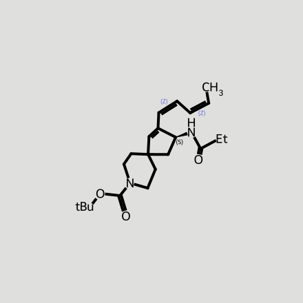 C/C=C\C=C/C1=CC2(CCN(C(=O)OC(C)(C)C)CC2)C[C@@H]1NC(=O)CC